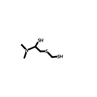 CN(C)C(S)CSCS